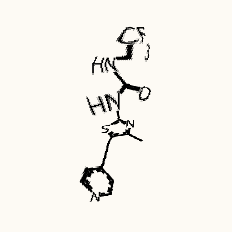 Cc1nc(NC(=O)NCC(F)(F)F)sc1-c1ccncc1